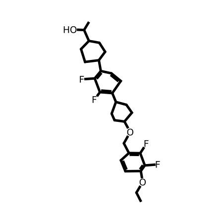 CCOc1ccc(COC2CCC(c3ccc(C4CCC(C(C)O)CC4)c(F)c3F)CC2)c(F)c1F